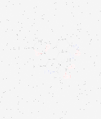 CC1=C(C(=O)OC(C)C)C(c2cccc3nonc23)C(C)(C(=O)O)C(C)N1